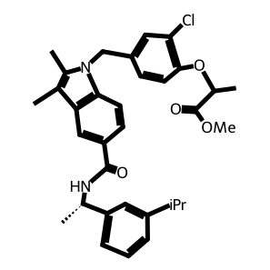 COC(=O)C(C)Oc1ccc(Cn2c(C)c(C)c3cc(C(=O)N[C@@H](C)c4cccc(C(C)C)c4)ccc32)cc1Cl